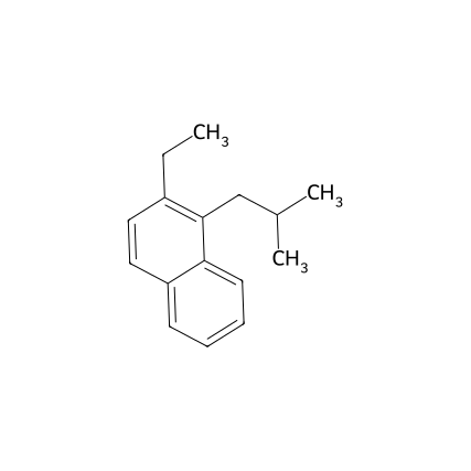 CCc1ccc2ccccc2c1CC(C)C